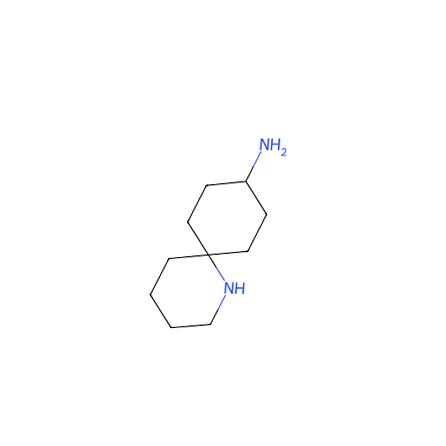 NC1CCC2(CCCCN2)CC1